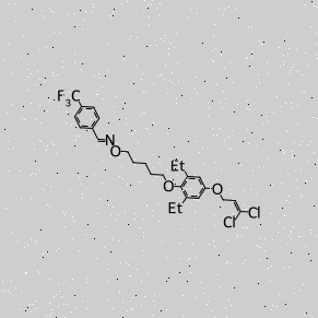 CCc1cc(OCC=C(Cl)Cl)cc(CC)c1OCCCCCON=Cc1ccc(C(F)(F)F)cc1